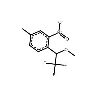 COC(c1ccc(C)cc1[N+](=O)[O-])C(F)(F)F